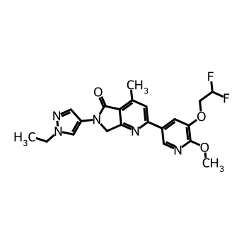 CCn1cc(N2Cc3nc(-c4cnc(OC)c(OCC(F)F)c4)cc(C)c3C2=O)cn1